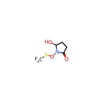 O=C1CCC(O)N1OSC(F)(F)F